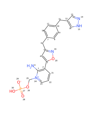 Nc1c(-c2cc(Cc3ccc(Cc4cn[nH]c4)cc3)no2)ccc[n+]1COP(=O)([O-])O